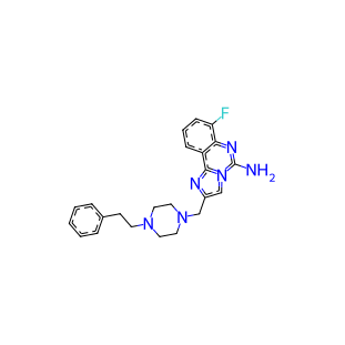 Nc1nc2c(F)cccc2c2nc(CN3CCN(CCc4ccccc4)CC3)cn12